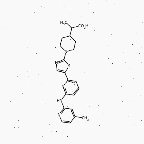 Cc1ccnc(Nc2cccc(-c3cnc(N4CCC(C(C)C(=O)O)CC4)s3)n2)c1